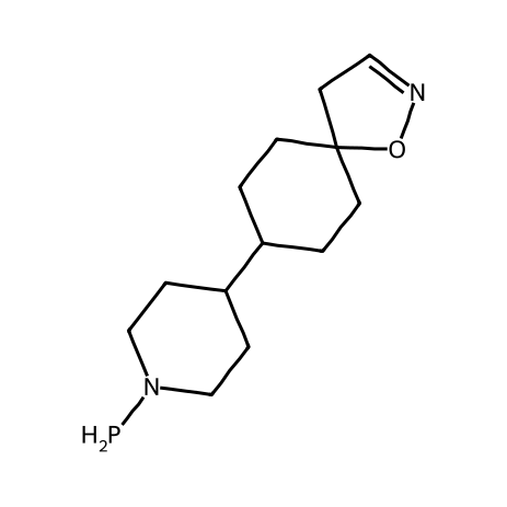 PN1CCC(C2CCC3(CC=NO3)CC2)CC1